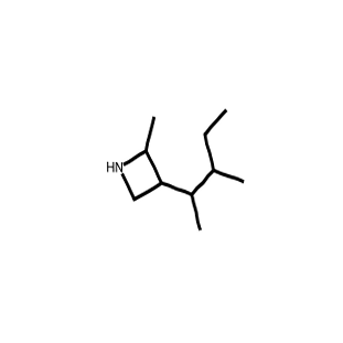 CCC(C)C(C)C1CNC1C